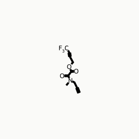 C#CCN(C)C(=O)C(=O)OCC#CC(F)(F)F